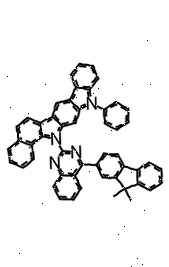 CC1(C)c2ccccc2-c2ccc(-c3nc(-n4c5cc6c(cc5c5ccc7ccccc7c54)c4ccccc4n6-c4ccccc4)nc4ccccc34)cc21